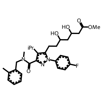 COC(=O)CC(O)CC(O)CCc1c(C(C)C)c(C(=O)N(C)Cc2ccccc2C)nn1-c1ccc(F)cc1